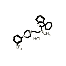 CN(CCN1CCN(c2cccc(C(F)(F)F)c2)CC1)C(=O)C1(c2ccccc2)CCCCC1.Cl